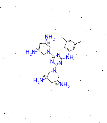 Cc1cc(C)cc(Nc2nc(N3C[C@H](N)C[C@H](N)C3)nc(N3C[C@H](N)C[C@H](N)C3)n2)c1